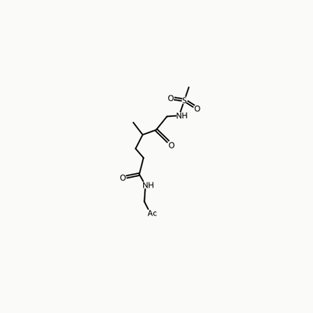 CC(=O)CNC(=O)CCC(C)C(=O)CNS(C)(=O)=O